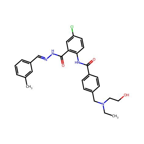 CCN(CCO)Cc1ccc(C(=O)Nc2ccc(Cl)cc2C(=O)NN=Cc2cccc(C)c2)cc1